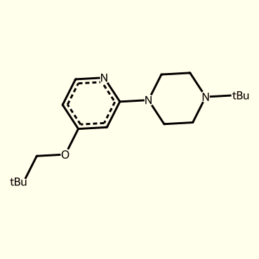 CC(C)(C)COc1ccnc(N2CCN(C(C)(C)C)CC2)c1